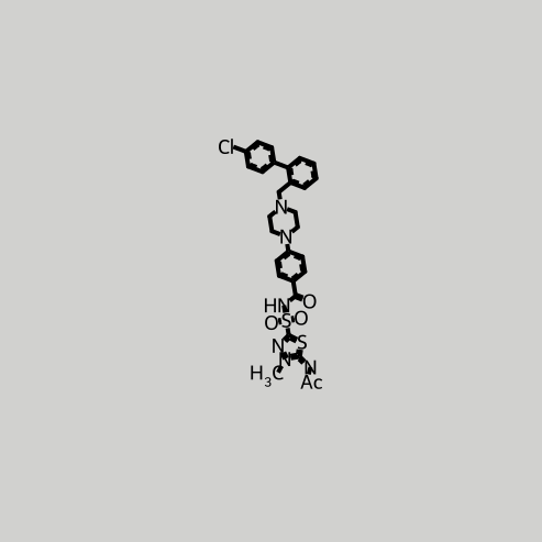 CC(=O)N=c1sc(S(=O)(=O)NC(=O)c2ccc(N3CCN(Cc4ccccc4-c4ccc(Cl)cc4)CC3)cc2)nn1C